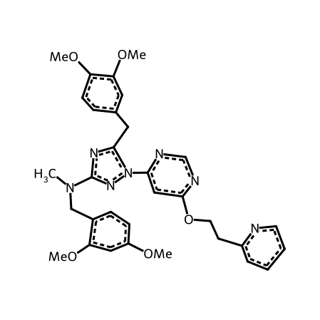 COc1ccc(CN(C)c2nc(Cc3ccc(OC)c(OC)c3)n(-c3cc(OCCc4ccccn4)ncn3)n2)c(OC)c1